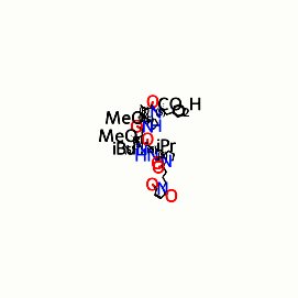 CC[C@H](C)[C@@H]([C@@H](CC(=O)N1CCC[C@H]1[C@H](OC)[C@@H](C)C(=O)N[C@@H](Cc1ccccc1)C(=O)O)OC)N(C)C(=O)[C@@H](NC(=O)[C@]1(C)CCCN1C(=O)CCCN1C(=O)C=CC1=O)C(C)C